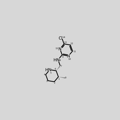 C[C@@H]1CCCN[C@@H]1CNc1nccc(Cl)n1